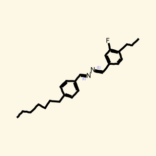 CCCCCCCc1ccc(/C=N/N=C/c2ccc(CCC)c(F)c2)cc1